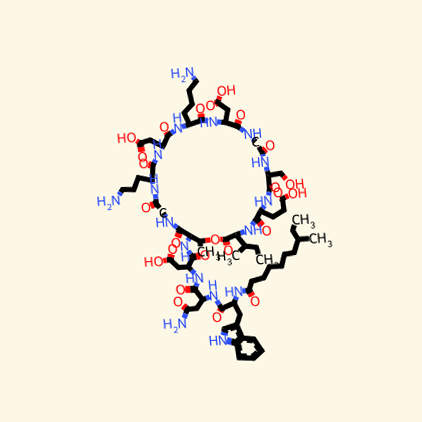 CCC(C)CCCCCCC(=O)NC(Cc1c[nH]c2ccccc12)C(=O)NC(CC(N)=O)C(=O)NC(CC(=O)O)C(=O)NC1C(=O)NCC(=O)NC(CCCN)C(=O)NC(CC(=O)O)C(=O)NC(CCCCN)C(=O)NC(CC(=O)O)C(=O)NCC(=O)NC(CO)C(=O)NC(CCC(=O)O)C(=O)NC(C(C)CC)C(=O)OC1C